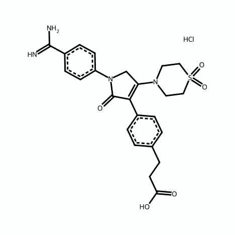 Cl.N=C(N)c1ccc(N2CC(N3CCS(=O)(=O)CC3)=C(c3ccc(CCC(=O)O)cc3)C2=O)cc1